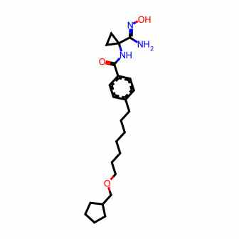 N/C(=N\O)C1(NC(=O)c2ccc(CCCCCCCOCC3CCCC3)cc2)CC1